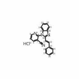 Cl.N#Cc1cccnc1-n1c(C=Cc2ccccc2)nc2ccccc21